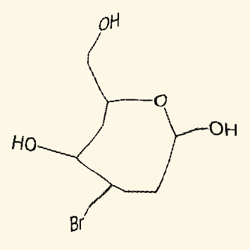 OCC1OC(O)CC(Br)C1O